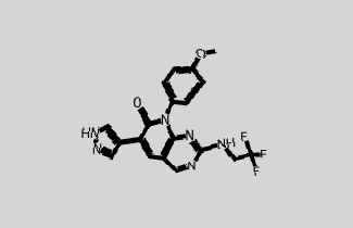 COc1ccc(-n2c(=O)c(-c3cn[nH]c3)cc3cnc(NCC(F)(F)F)nc32)cc1